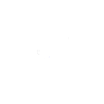 COc1ccc(/C=C/C(=O)Nc2ccccc2C)cc1O